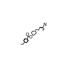 CCc1ccc(C(=O)O[C@H]2CC[C@H](CCC=C(F)C#N)CC2)cc1